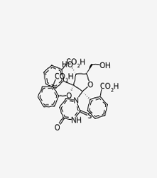 O=C(O)c1ccccc1O[C@]1(c2ccccc2C(=O)O)[C@H](O)[C@@H](CO)O[C@@]1(c1ccccc1C(=O)O)n1ccc(=O)[nH]c1=S